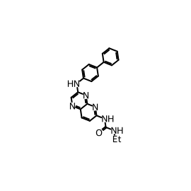 CCNC(=O)Nc1ccc2ncc(Nc3ccc(-c4ccccc4)cc3)nc2n1